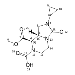 COC(=O)[C@H]1[C@@H]2CN(C3CC3)C(=O)N2CCN1C(=O)O